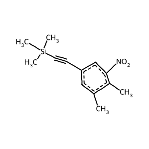 Cc1cc(C#C[Si](C)(C)C)cc([N+](=O)[O-])c1C